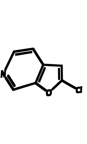 Clc1cc2ccncc2o1